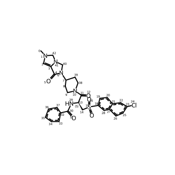 CN1C=C2C(=O)N(C3CCN(C(=O)[C@@H](CS(=O)(=O)c4ccc5cc(Cl)ccc5c4)NC(=O)c4ccccc4)CC3)CN2C1